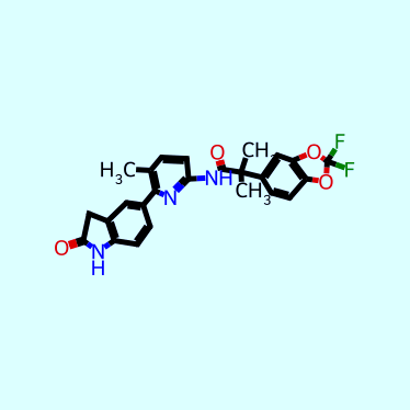 Cc1ccc(NC(=O)C(C)(C)c2ccc3c(c2)OC(F)(F)O3)nc1-c1ccc2c(c1)CC(=O)N2